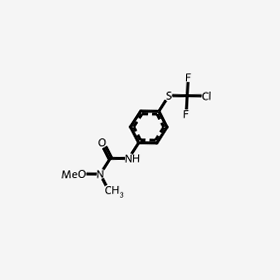 CON(C)C(=O)Nc1ccc(SC(F)(F)Cl)cc1